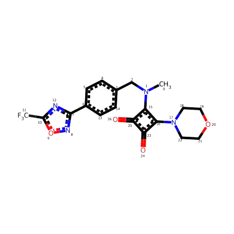 CN(Cc1ccc(-c2noc(C(F)(F)F)n2)cc1)c1c(N2CCOCC2)c(=O)c1=O